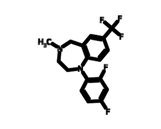 CN1CCN(c2ccc(F)cc2F)c2ccc(C(F)(F)F)cc2C1